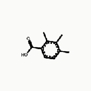 Cc1ccc(C(=O)O)c(C)c1C